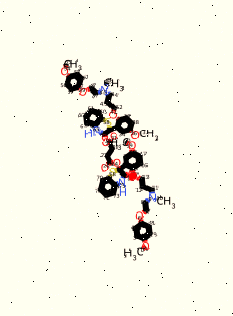 COc1ccc(OCCN(C)CCCOc2ccc(OC)cc2C2(OC(=O)/C=C/C(=O)OC3(c4cc(OC)ccc4OCCCN(C)CCOc4ccc(OC)cc4)Sc4ccccc4NC3=O)Sc3ccccc3NC2=O)cc1